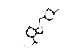 COC(=O)c1cccc2c1cnn2Cc1cnc(C)cn1